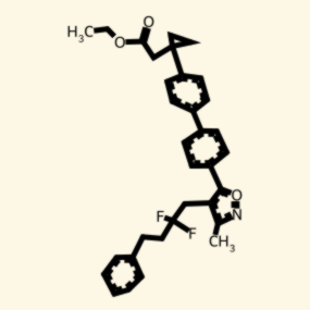 CCOC(=O)CC1(c2ccc(-c3ccc(-c4onc(C)c4CC(F)(F)CCc4ccccc4)cc3)cc2)CC1